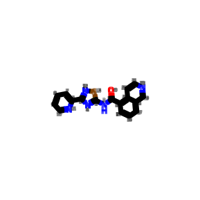 O=C(Nc1nc(-c2ccccn2)ns1)c1cccc2cnccc12